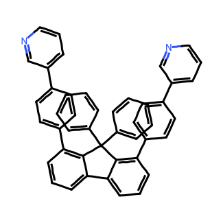 c1ccc(C2(c3ccccc3)c3c(-c4ccc(-c5cccnc5)cc4)cccc3-c3cccc(-c4ccc(-c5cccnc5)cc4)c32)cc1